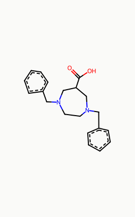 O=C(O)C1CN(Cc2ccccc2)CCN(Cc2ccccc2)C1